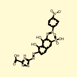 O=C(O)c1nnc(/N=N/c2ccc3cc(S(=O)(=O)O)c(/N=N/c4ccc([N+](=O)[O-])cc4)c(O)c3c2O)[nH]1